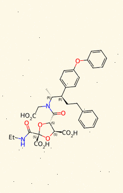 CCNC(=O)[C@@]1(C(=O)O)O[C@H](C(=O)O)[C@@H](C(=O)N(CC(=O)O)[C@H](C)[C@H](CCc2ccccc2)c2ccc(Oc3ccccc3)cc2)O1